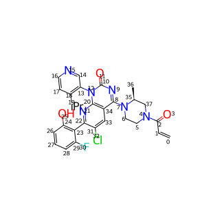 C=CC(=O)N1CCN(c2nc(=O)n(-c3cnccc3C(C)C)c3nc(-c4c(O)cccc4F)c(Cl)cc23)[C@@H](C)C1